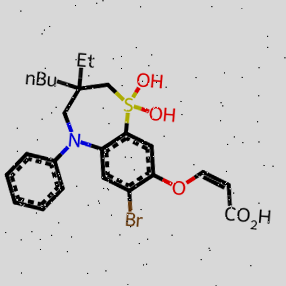 CCCCC1(CC)CN(c2ccccc2)c2cc(Br)c(O/C=C\C(=O)O)cc2S(O)(O)C1